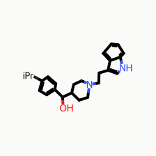 CC(C)c1ccc(C(O)C2CCN(CCc3c[nH]c4ccccc34)CC2)cc1